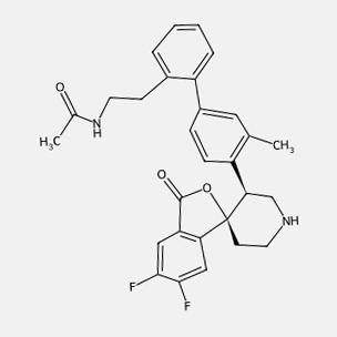 CC(=O)NCCc1ccccc1-c1ccc([C@H]2CNCC[C@@]23OC(=O)c2cc(F)c(F)cc23)c(C)c1